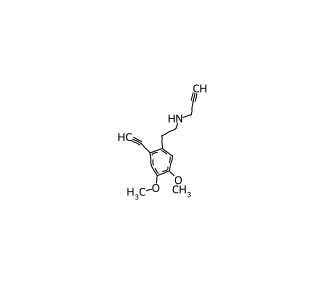 C#CCNCCc1cc(OC)c(OC)cc1C#C